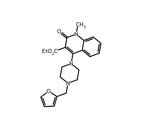 CCOC(=O)c1c(N2CCN(Cc3ccco3)CC2)c2ccccc2n(C)c1=O